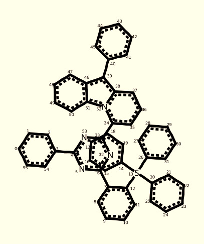 c1ccc(-c2nc(-c3ccccc3S(c3ccccc3)(c3ccccc3)c3ccccc3)nc(-c3cccc4c(-c5ccccc5)c5ccccc5n34)n2)cc1